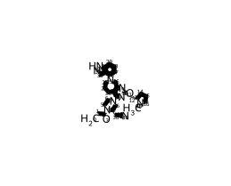 C=CC(=O)N1CCN(c2nc(OC[C@@H]3CCCN3C)nc3c2CCCN(c2cccc4[nH]ncc24)C3)C[C@@H]1CC#N